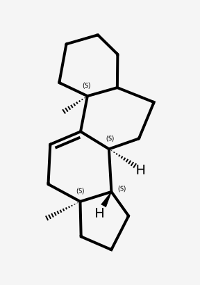 C[C@]12CC=C3[C@@H](CCC4CCCC[C@]34C)[C@@H]1CCC2